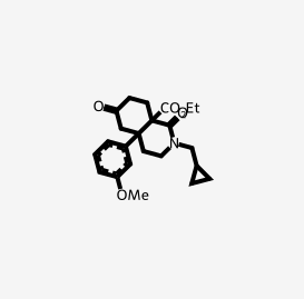 CCOC(=O)C12CCC(=O)CC1(c1cccc(OC)c1)CCN(CC1CC1)C2=O